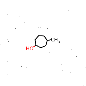 CC1CCCC(O)CC1